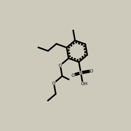 CCCc1c(C)ccc(S(=O)(=O)O)c1OC(C)OCC